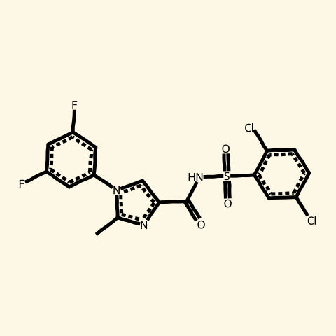 Cc1nc(C(=O)NS(=O)(=O)c2cc(Cl)ccc2Cl)cn1-c1cc(F)cc(F)c1